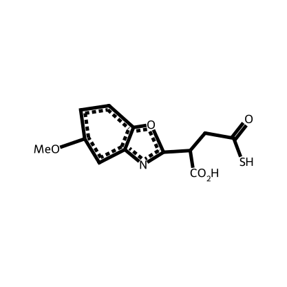 COc1ccc2oc(C(CC(=O)S)C(=O)O)nc2c1